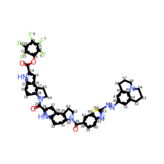 O=C(Oc1c(F)c(F)c(F)c(F)c1F)c1cc2c3c(ccc2[nH]1)N(C(=O)c1cc2c4c(ccc2[nH]1)N(C(=O)c1ccc2nc(/N=N/c5cc6c7c(c5)CCCN7CCC6)sc2c1)CC4)CC3